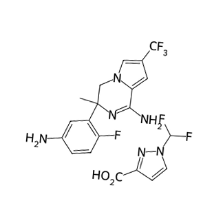 CC1(c2cc(N)ccc2F)Cn2cc(C(F)(F)F)cc2C(N)=N1.O=C(O)c1ccn(C(F)F)n1